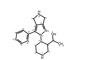 CC(O)C1CNCCN1n1nc2c(c1-c1ccncn1)CNC2